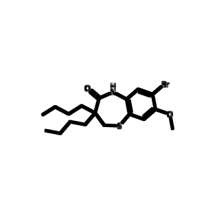 CCCCC1(CCCC)CSc2cc(OC)c(Br)cc2NC1=O